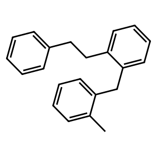 Cc1ccccc1Cc1ccccc1CCc1ccccc1